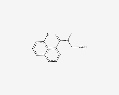 CN(CC(=O)O)C(=S)c1cccc2cccc(Br)c12